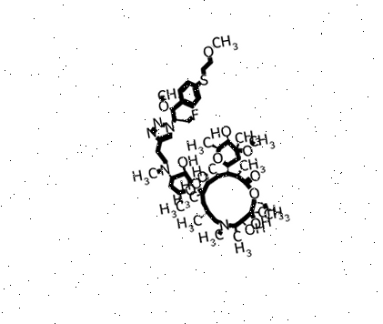 CC[C@H]1OC(=O)[C@H](C)C([C@H]2C[C@@](C)(OC)[C@@H](O)[C@H](C)O2)[C@H](C)[C@@H](O[C@@H]2O[C@H](C)C[C@H](N(C)CCc3cn([C@H](CF)[C@H](OC)c4ccc(SCCOC)cc4)nn3)[C@H]2O)[C@](C)(O)C[C@@H](C)CN(C)[C@H](C)[C@@H](O)[C@]1(C)O